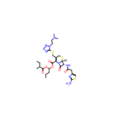 CCCC(OC(=O)C1=C(CSc2nnnn2CCN(C)C)CS[C@@H]2[C@H](NC(=O)Cc3csc(N)n3)C(=O)N12)OC(=O)C(C)CC